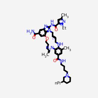 C=CCCCOc1cc(C(N)=O)cc2nc(NC(=O)c3cc(C)nn3CC)n(C/C=C/CNc3c(C)cc(C(=O)NCCCCN4CCCC(CCC)C4)cc3N)c12